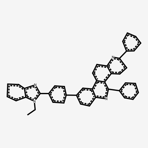 CCn1c(-c2ccc(-c3ccc4nc(-c5ccccc5)c5c6ccc(-c7ccccc7)nc6ccc5c4c3)cc2)nc2ccccc21